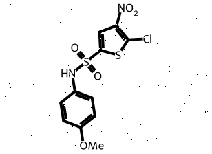 COc1ccc(NS(=O)(=O)c2cc([N+](=O)[O-])c(Cl)s2)cc1